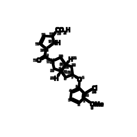 COc1cccc(O[C@H]2C[C@@H]3CN(C(=O)N4C=CC(C(=O)O)N4)C[C@@H]3C2)c1Cl